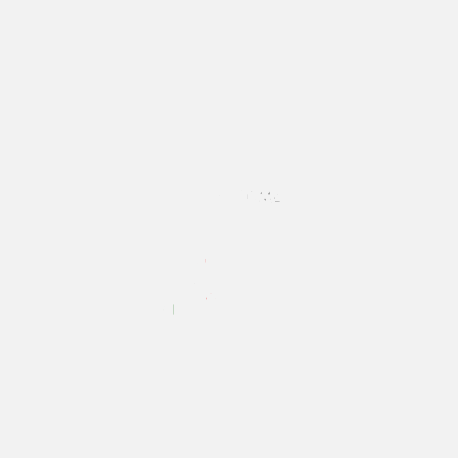 COc1ccc2ccccc2c1Cc1c(OC(=O)CCl)ccc2ccccc12